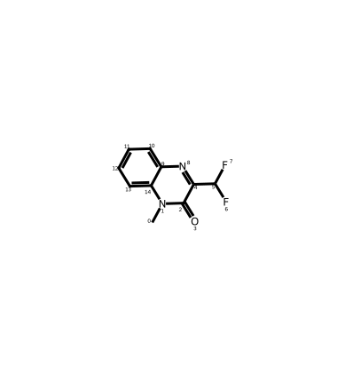 Cn1c(=O)c(C(F)F)nc2ccccc21